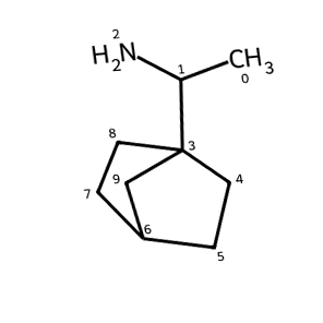 CC(N)C12CCC(CC1)C2